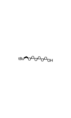 CC(C)(C)COOOOOOO